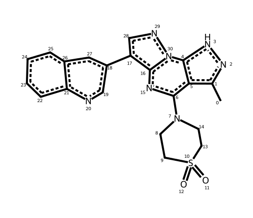 Cc1n[nH]c2c1c(N1CCS(=O)(=O)CC1)nc1c(-c3cnc4ccccc4c3)cnn12